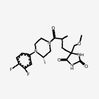 COCC1(CC(C)C(=O)N2CCN(c3ccc(F)c(F)c3)[C@@H](C)C2)NC(=O)NC1=O